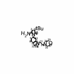 CC(C)(C)c1cc(N)n(-c2ccc3cnn(CCN4CCOCC4)c3c2)n1